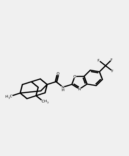 CC12CC3CC(C)(C1)CC(C(=O)Nc1nc4ccc(C(F)(F)F)cc4o1)(C3)C2